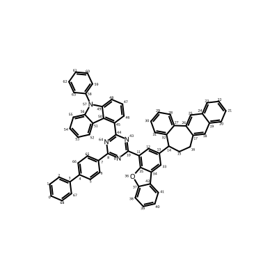 c1ccc(-c2ccc(-c3nc(-c4cc(C5CCc6cc7ccccc7cc6-c6ccccc65)cc5c4oc4ccccc45)nc(-c4cccc5c4c4ccccc4n5-c4ccccc4)n3)cc2)cc1